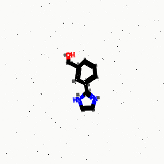 OCc1cccc(-c2ncc[nH]2)c1